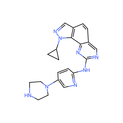 c1cc(Nc2ncc3ccc4cnn(C5CC5)c4c3n2)ncc1N1CCNCC1